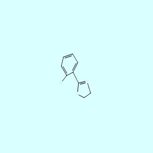 Br.Nc1ccccc1C1=NCCN1